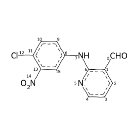 O=Cc1cccnc1Nc1ccc(Cl)c([N+](=O)[O-])c1